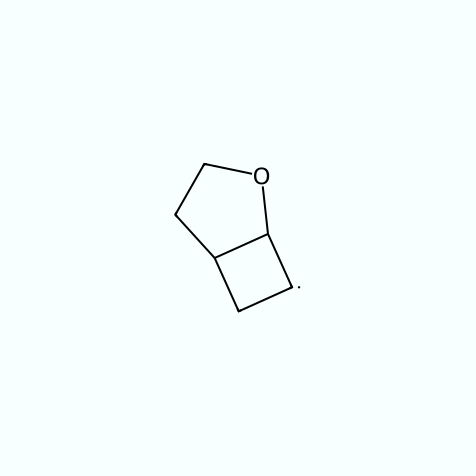 [CH]1CC2CCOC12